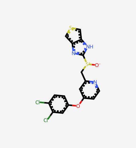 [O-][S+](Cc1cc(Oc2ccc(Cl)c(Cl)c2)ccn1)c1nc2cscc2[nH]1